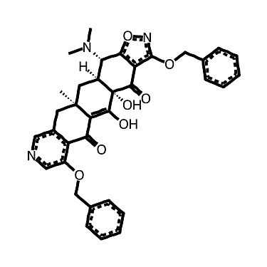 CN(C)[C@@H]1c2onc(OCc3ccccc3)c2C(=O)[C@@]2(O)C(O)=C3C(=O)c4c(cncc4OCc4ccccc4)C[C@@]3(C)C[C@@H]12